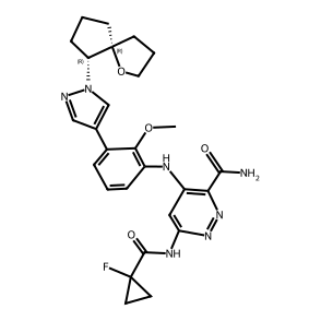 COc1c(Nc2cc(NC(=O)C3(F)CC3)nnc2C(N)=O)cccc1-c1cnn([C@@H]2CCC[C@@]23CCCO3)c1